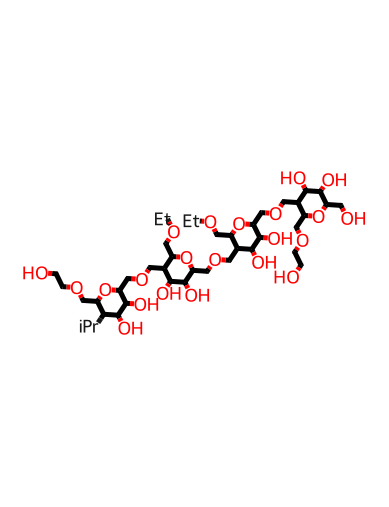 CCOCC1OC(COCC2C(COCCO)OC(CO)C(O)C2O)C(O)C(O)C1COCC1OC(COCC)C(COCC2OC(COCCO)C(C(C)C)C(O)C2O)C(O)C1O